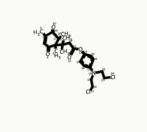 CC1=CC(=O)C(C)(C(C)(C)CC(=O)Oc2ccc(N(CCCl)CCCl)cc2)C(C)C1=O